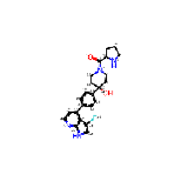 O=C(C1CCCN1)N1CCC(O)(c2ccc(-c3ccnc4[nH]cc(F)c34)cc2)CC1